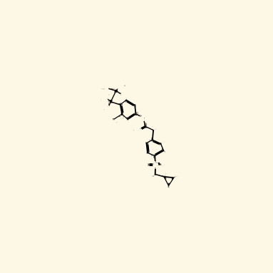 CC(O)(c1ccc(NC(=O)Cc2ccc(S(=O)(=O)CC3CC3)cc2)cc1Cl)C(F)(F)F